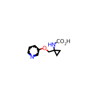 O=C(O)NC1(COc2cccnc2)CC1